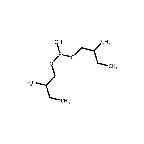 CCC(C)COP(O)OCC(C)CC